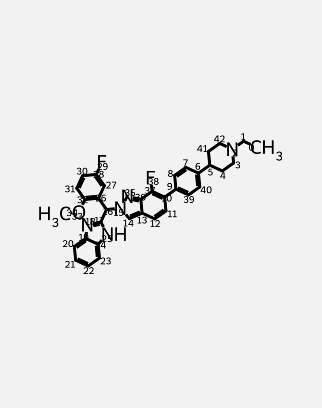 CCN1CCC(c2ccc(-c3ccc4cn(C(c5nc6ccccc6[nH]5)c5cc(F)ccc5OC)nc4c3F)cc2)CC1